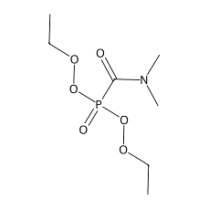 CCOOP(=O)(OOCC)C(=O)N(C)C